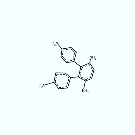 Nc1ccc(N)c(-c2ccc([N+](=O)[O-])cc2)c1-c1ccc([N+](=O)[O-])cc1